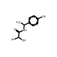 CC(NC(=O)C(O)C(C)C)c1ccc(C#N)cc1